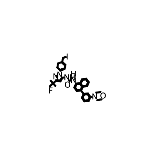 CC(C)(CF)c1cc(NC(=O)Nc2ccc(-c3cccc(N4CCOCC4)c3)c3ccccc23)n(C2=CC=C(CI)CC2)n1